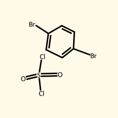 Brc1ccc(Br)cc1.O=S(=O)(Cl)Cl